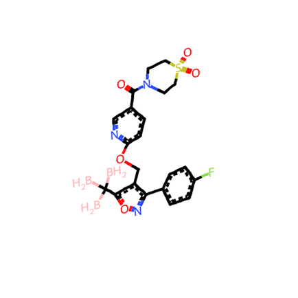 BC(B)(B)c1onc(-c2ccc(F)cc2)c1COc1ccc(C(=O)N2CCS(=O)(=O)CC2)cn1